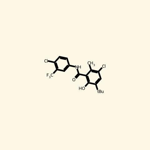 Cc1c(Cl)cc(C(C)(C)C)c(O)c1C(=O)Nc1ccc(Cl)c(C(F)(F)F)c1